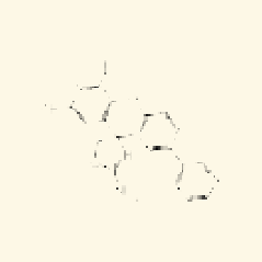 NC1=N[C@@]2(CO1)c1cc(-c3cccnc3)ccc1Oc1c2cc(Cl)nc1F